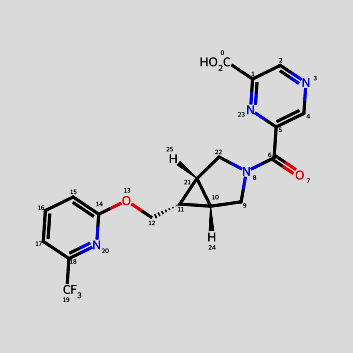 O=C(O)c1cncc(C(=O)N2C[C@@H]3[C@H](COc4cccc(C(F)(F)F)n4)[C@@H]3C2)n1